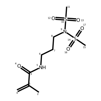 C=C(C)C(=O)NCCCN(S(C)(=O)=O)S(C)(=O)=O